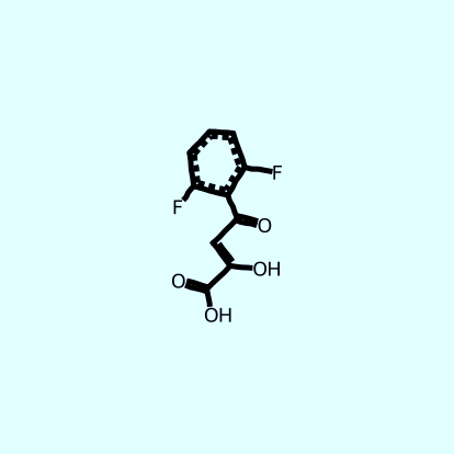 O=C(O)C(O)=CC(=O)c1c(F)cccc1F